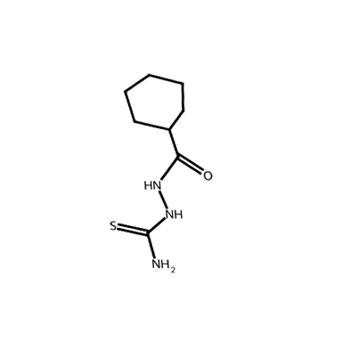 NC(=S)NNC(=O)C1CCCCC1